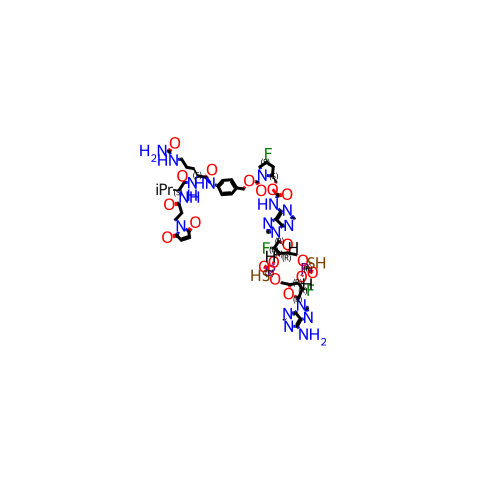 CC(C)[C@H](NC(=O)CCN1C(=O)C=CC1=O)C(=O)N[C@@H](CCCNC(N)=O)C(=O)Nc1ccc(COC(=O)N2C[C@@H](F)C[C@H]2COC(=O)Nc2ncnc3c2ncn3[C@@H]2O[C@@H]3CO[P@@](=O)(S)O[C@@H]4C(CO[P@](=O)(S)O[C@H]3[C@H]2F)O[C@@H](n2cnc3c(N)ncnc32)[C@@H]4F)cc1